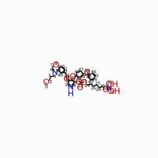 COCCCN1CCOc2ccc(COC3CNCC(OC(=O)OCCCCCCON(O)O)C3OC3CCC(Oc4ccccc4)CC3)cc21